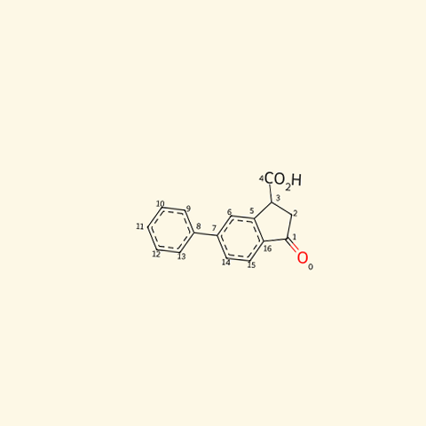 O=C1CC(C(=O)O)c2cc(-c3ccccc3)ccc21